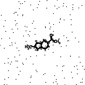 CC(=O)c1ccc2sc(C)cc2n1